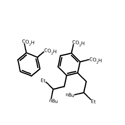 CCCCC(CC)Cc1ccc(C(=O)O)c(C(=O)O)c1CC(CC)CCCC.O=C(O)c1ccccc1C(=O)O